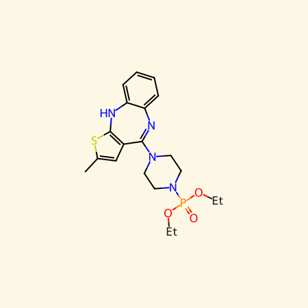 CCOP(=O)(OCC)N1CCN(C2=Nc3ccccc3Nc3sc(C)cc32)CC1